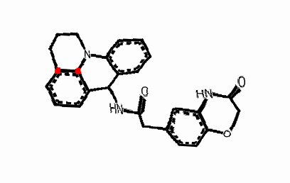 O=C1COc2ccc(CC(=O)NC(c3ccccc3)c3ccccc3N3CCCCC3)cc2N1